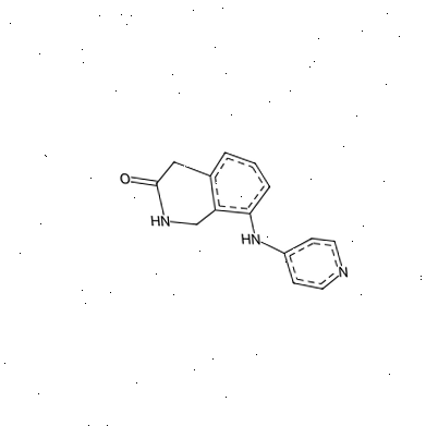 O=C1Cc2cccc(Nc3ccncc3)c2CN1